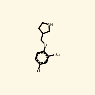 CC(C)(C)c1cc(Cl)ccc1OCC1CCNC1